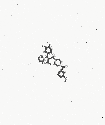 COc1cccc(C(=O)N2CCN(C(=O)C3=C(C)Nc4ccnn4C3c3ccc(Cl)c(Cl)c3)CC2)c1